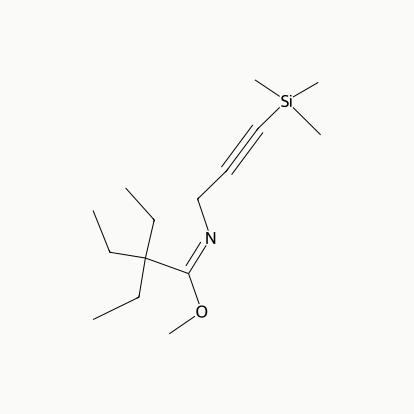 CCC(CC)(CC)/C(=N\CC#C[Si](C)(C)C)OC